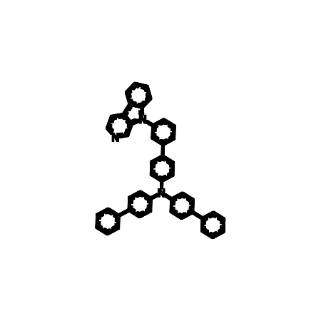 c1ccc(-c2ccc(N(c3ccc(-c4ccccc4)cc3)c3ccc(-c4cccc(-n5c6ccccc6c6ccncc65)c4)cc3)cc2)cc1